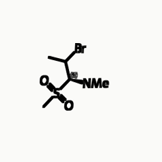 CN[C@H](C(C)Br)S(C)(=O)=O